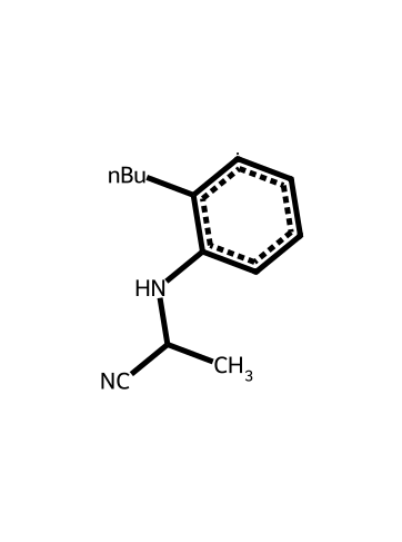 CCCCc1[c]cccc1NC(C)C#N